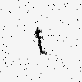 C#CCNC(=O)COCC(=O)NCCCOCCOCCOCCCN